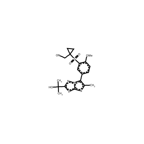 COc1ccc(-c2c(C)nc3sc(C(C)(C)O)nn23)cc1S(=O)(=O)C1(CN=O)CC1